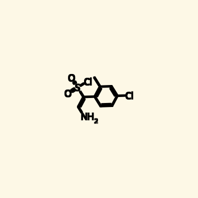 Cc1cc(Cl)ccc1/C(=C\N)S(=O)(=O)Cl